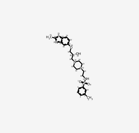 Cc1cccc(S(=O)(=O)NCCN2CCN(C[C@@H](O)COc3ccc4sc(C)nc4c3)CC2)c1